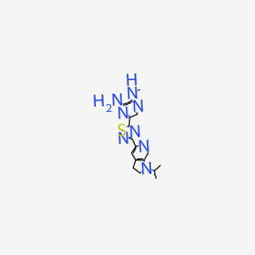 CNc1ncc(-c2nc(-c3cc4c(cn3)N(C(C)C)CC4)ns2)nc1N